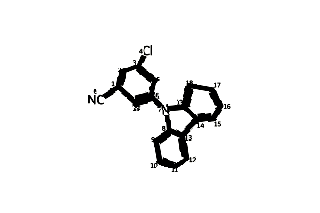 N#Cc1cc(Cl)cc(-n2c3ccccc3c3ccccc32)c1